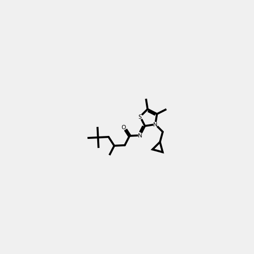 Cc1s/c(=N\C(=O)CC(C)CC(C)(C)C)n(CC2CC2)c1C